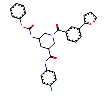 O=C(NC1CC(C(=O)Nc2ccc(Cl)cc2)CN(C(=O)c2cccc(-c3ccco3)c2)C1)Oc1ccccc1